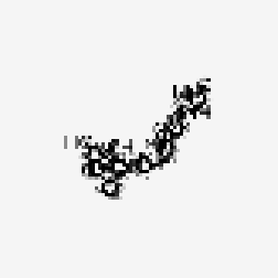 COc1cc(N2CCC(CN3CCN4c5ccc(C(=O)NC6CCC(=O)NC6=O)nc5OC[C@H]4C3)CC2)ccc1[C@@H]1c2ccc(O)cc2OC[C@@H]1c1ccccc1